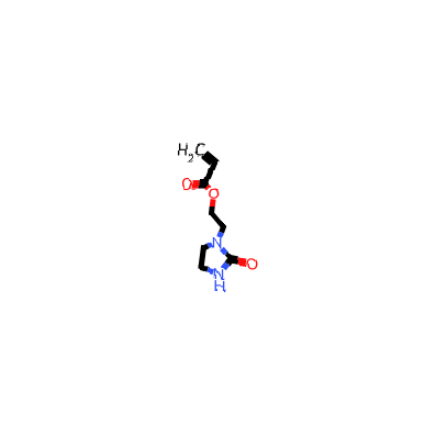 C=CC(=O)OCCN1CCNC1=O